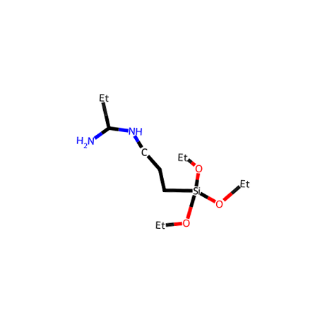 CCO[Si](CCCNC(N)CC)(OCC)OCC